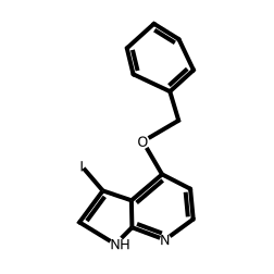 Ic1c[nH]c2nccc(OCc3ccccc3)c12